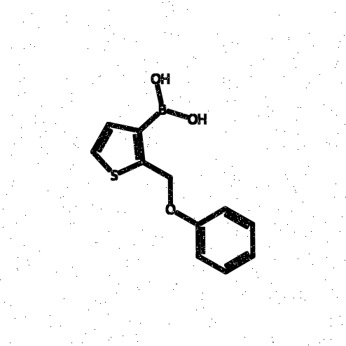 OB(O)c1ccsc1COc1ccccc1